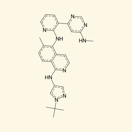 CNc1cc(-c2cccnc2Nc2c(C)ccc3c(Nc4cnn(C(C)(C)C)c4)nccc23)ncn1